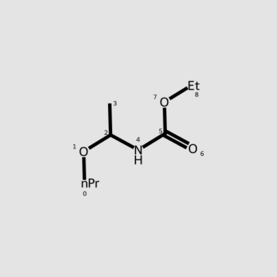 CCCOC(C)NC(=O)OCC